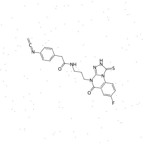 C=C=Nc1ccc(CC(=O)NCCCn2c(=O)c3cc(F)ccc3n3c(=S)[nH]nc23)cc1